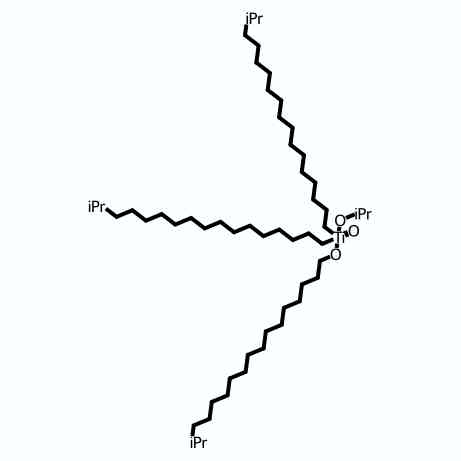 CC(C)CCCCCCCCCCCCCCC[O][Ti](=[O])([CH2]CCCCCCCCCCCCCCC(C)C)([CH2]CCCCCCCCCCCCCCC(C)C)[O]C(C)C